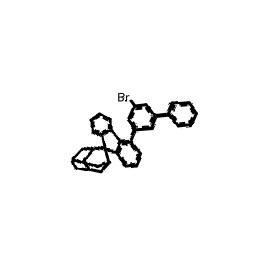 Brc1cc(-c2ccccc2)cc(-c2cccc3c2-c2ccccc2C32C3CC4CC(C3)CC2C4)c1